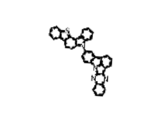 c1ccc2nc3c(nc2c1)c1cccc2c4cc(-n5c6ccccc6c6c7sc8ccccc8c7ccc65)ccc4n3c21